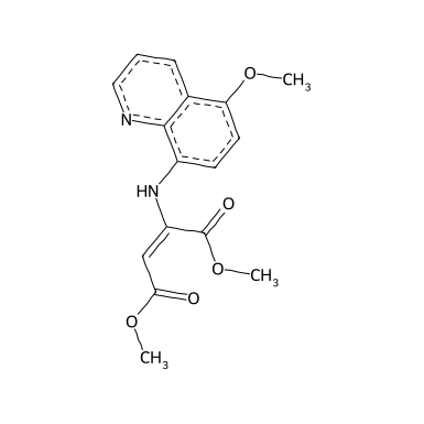 COC(=O)C=C(Nc1ccc(OC)c2cccnc12)C(=O)OC